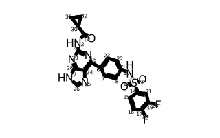 O=C(Nc1nc(-c2ccc(NS(=O)(=O)c3ccc(F)c(F)c3)cc2)c2nc[nH]c2n1)C1CC1